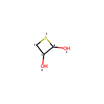 OC1CSC1O